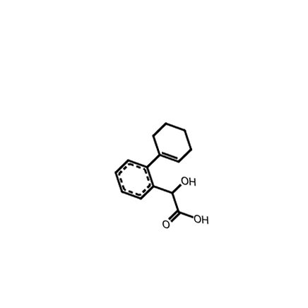 O=C(O)C(O)c1ccccc1C1=CCCCC1